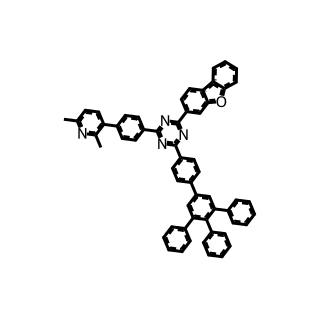 Cc1ccc(-c2ccc(-c3nc(-c4ccc(-c5cc(-c6ccccc6)c(-c6ccccc6)c(-c6ccccc6)c5)cc4)nc(-c4ccc5c(c4)oc4ccccc45)n3)cc2)c(C)n1